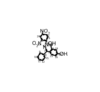 O=[N+]([O-])c1ccc(NN=C(c2ccccc2)c2ccc(O)cc2O)c([N+](=O)[O-])c1